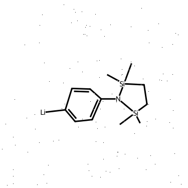 [Li][c]1ccc(N2[Si](C)(C)CC[Si]2(C)C)cc1